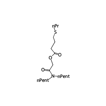 CCCCCN(CCCCC)C(=O)COC(=O)CCCSCCC